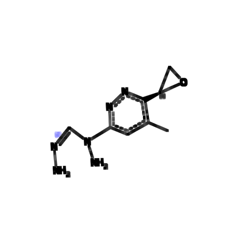 Cc1cc(N(N)/C=N\N)nnc1[C@H]1CO1